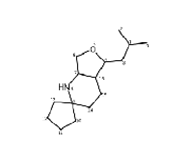 CC(C)CC1OCC2NC3(CCCC3)CCC21